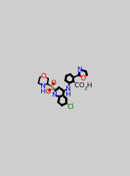 O=C(O)c1c(Nc2cc(S(=O)(=O)C3COCCN3)nc3ccc(Cl)cc23)cccc1-c1ncco1